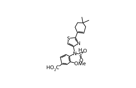 COc1cc(C(=O)O)ccc1N(c1csc(C2=CCC(C)(C)CC2)n1)[SH](=O)=O